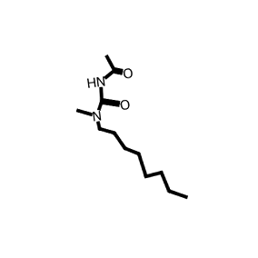 CCCCCCCCN(C)C(=O)NC(C)=O